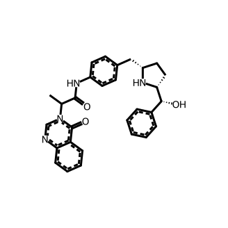 CC(C(=O)Nc1ccc(C[C@@H]2CC[C@H]([C@H](O)c3ccccc3)N2)cc1)n1cnc2ccccc2c1=O